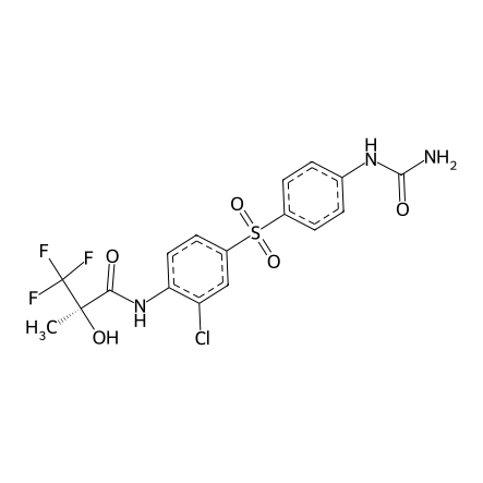 C[C@@](O)(C(=O)Nc1ccc(S(=O)(=O)c2ccc(NC(N)=O)cc2)cc1Cl)C(F)(F)F